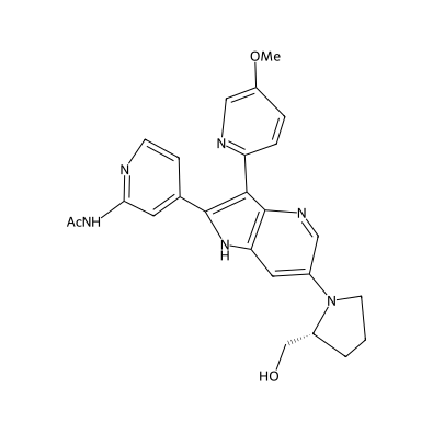 COc1ccc(-c2c(-c3ccnc(NC(C)=O)c3)[nH]c3cc(N4CCC[C@@H]4CO)cnc23)nc1